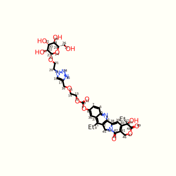 CCc1c2c(nc3ccc(OC(=O)OCCOCc4cn(CCO[C@H]5O[C@@H](CO)[C@H](O)[C@@H](O)[C@@H]5O)nn4)cc13)-c1cc3c(c(=O)n1C2)COC(=O)[C@]3(O)CC